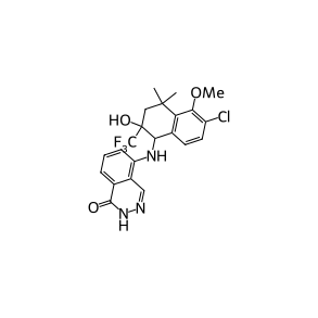 COc1c(Cl)ccc2c1C(C)(C)CC(O)(C(F)(F)F)C2Nc1cccc2c(=O)[nH]ncc12